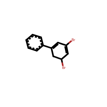 BrC1=CC(Br)CC(c2ccccc2)=C1